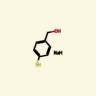 OCc1ccc(S)cc1.[NaH]